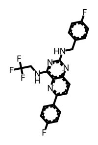 Fc1ccc(CNc2nc(NCC(F)(F)F)c3nc(-c4ccc(F)cc4)ccc3n2)cc1